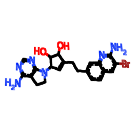 Nc1nc2cc(CCC3=CC(N4CCc5c(N)ncnc54)C(O)C3O)ccc2cc1Br